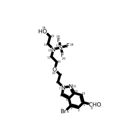 O=Cc1cc(Br)c2cn(CCOCCN(CCO)S(F)(F)F)nc2c1